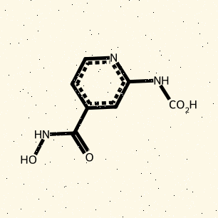 O=C(O)Nc1cc(C(=O)NO)ccn1